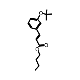 CCCCOC(=O)C=Cc1cccc(OC(C)(C)C)c1